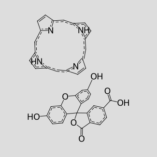 C1=Cc2cc3ccc(cc4nc(cc5ccc(cc1n2)[nH]5)C=C4)[nH]3.O=C(O)c1ccc2c(c1)C1(OC2=O)c2ccc(O)cc2Oc2cc(O)ccc21